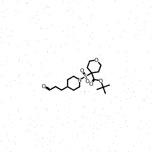 CC(C)(C)OC(=O)C1(S(=O)(=O)N2CCC(CCC=O)CC2)CCOCC1